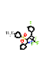 Cc1ccc(S(=O)(=O)C2C(c3ccccc3)=NC3(C(F)(F)F)CC(c4ccc(F)cc4)C23)cc1